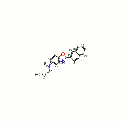 CN(CC(=O)O)c1ccc2oc(-c3ccc4ccccc4c3)nc2c1